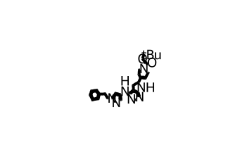 CC(C)(C)OC(=O)N1CC=C(C2Cc3c(Nc4cnn(CCc5ccccc5)c4)ncnc3N2)CC1